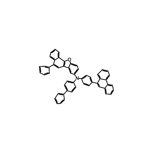 c1ccc(-c2ccc(N(c3ccc(-c4cc5ccccc5c5ccccc45)cc3)c3ccc4oc5c6ccccc6c(-c6ccccc6)cc5c4c3)cc2)cc1